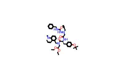 C#CCN(CC(=O)N[C@@H](Cc1ccc(OC(C)(C)C)cc1)C(=O)N(Cc1cccc(N=C)c1/C=C\C)CC(OCC)OCC)NC(=O)NCc1ccccc1